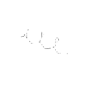 COC(=O)CC(N)CN(C)C